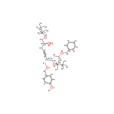 COc1ccc(COC[C@H](C#CC[C@H](O)CO[Si](C)(C)C(C)(C)C)[C@H](CCOCc2ccccc2)O[Si](C)(C)C(C)(C)C)cc1